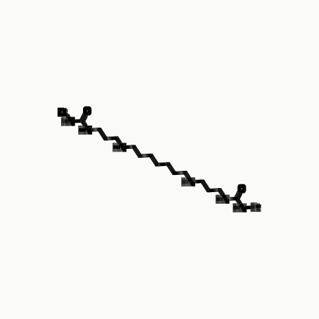 CCNC(=O)NCCCNCCCCCCCNCCCNC(=O)NCC